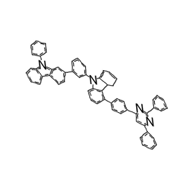 C1=CCC2C(=C1)N(c1cccc(-c3ccc4c5ccccc5n(-c5ccccc5)c4c3)c1)c1cccc(-c3ccc(-c4cc(-c5ccccc5)nc(-c5ccccc5)n4)cc3)c12